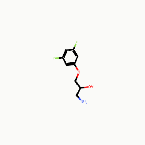 NCC(O)COc1cc(F)cc(F)c1